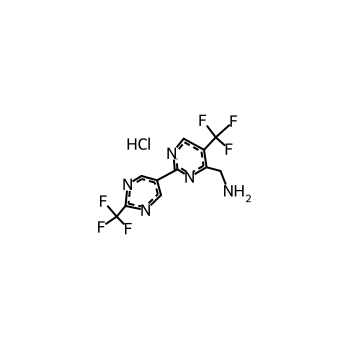 Cl.NCc1nc(-c2cnc(C(F)(F)F)nc2)ncc1C(F)(F)F